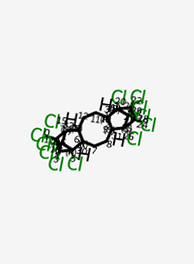 ClC1=C(Cl)[C@]2(Cl)[C@@H]3CC[C@H]4[C@@H](CC[C@@H]3[C@@]1(Cl)C2(Cl)Cl)[C@@]1(Cl)C(Cl)=C(Cl)[C@]4(Cl)C1(Cl)Cl